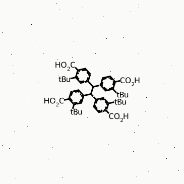 CC(C)(C)c1cc(C(c2ccc(C(=O)O)c(C(C)(C)C)c2)C(c2ccc(C(=O)O)c(C(C)(C)C)c2)c2ccc(C(=O)O)c(C(C)(C)C)c2)ccc1C(=O)O